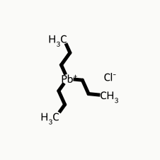 CC[CH2][Pb+]([CH2]CC)[CH2]CC.[Cl-]